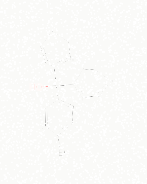 CCc1ccc(C(O)(C2=CCCC=C2)C2=CC=CCC2)cc1